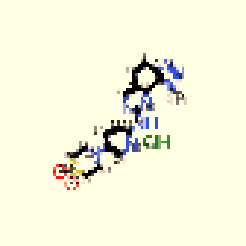 CC(C)n1nnc2ccc3cnc(Nc4ccc(N5CCS(=O)(=O)CC5)cn4)nc3c21.Cl